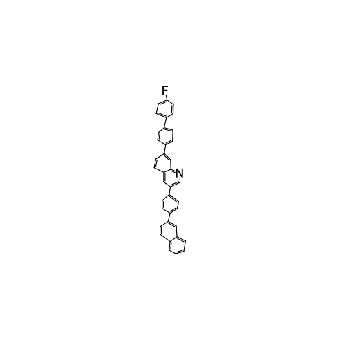 Fc1ccc(-c2ccc(-c3ccc4cc(-c5ccc(-c6ccc7ccccc7c6)cc5)cnc4c3)cc2)cc1